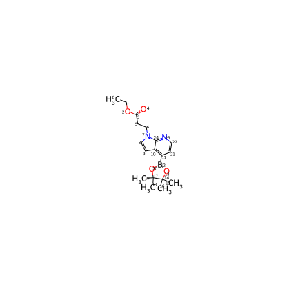 CCOC(=O)CCn1ccc2c(B3OC(C)(C)C(C)(C)O3)ccnc21